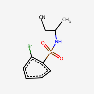 CC(CC#N)NS(=O)(=O)c1ccccc1Br